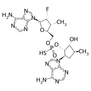 C[C@H]1[C@@H](F)[C@H](n2cnc3c(N)ncnc32)O[C@@H]1COP(=O)(S)O[C@@H]1[C@H](O)[C@@H](C)C[C@H]1n1cnc2c(N)ncnc21